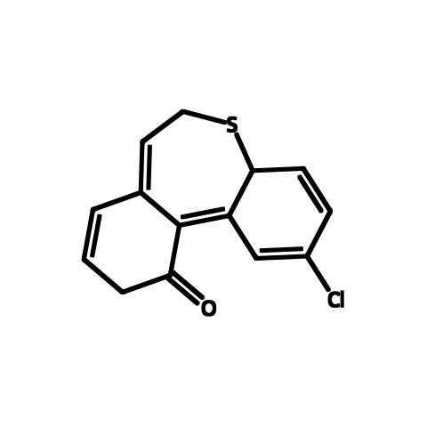 O=C1CC=CC2=CCSC3C=CC(Cl)=CC3=C12